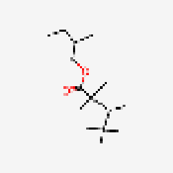 CCC(C)COC(=O)C(C)(C)C(C)C(C)(C)C